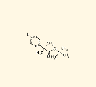 CC(C)(C)OC(=O)C(C)(C)c1ccc(I)cc1